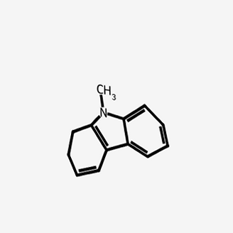 Cn1c2c(c3ccccc31)C=CCC2